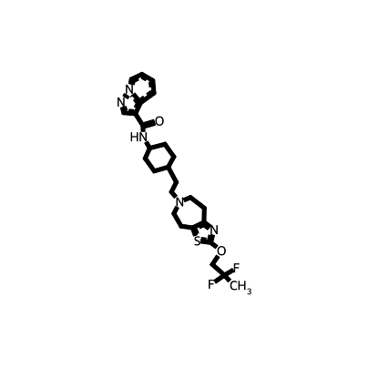 CC(F)(F)COc1nc2c(s1)CCN(CCC1CCC(NC(=O)c3cnn4ccccc34)CC1)CC2